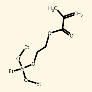 C=C(C)C(=O)OCCO[Si](CC)(OCC)OCC